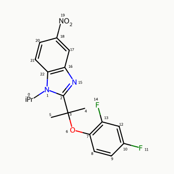 CC(C)n1c(C(C)(C)Oc2ccc(F)cc2F)nc2cc([N+](=O)[O-])ccc21